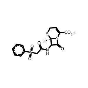 O=C(CS(=O)(=O)c1ccccc1)NC1C(=O)N2C(C(=O)O)=CCS[C@H]12